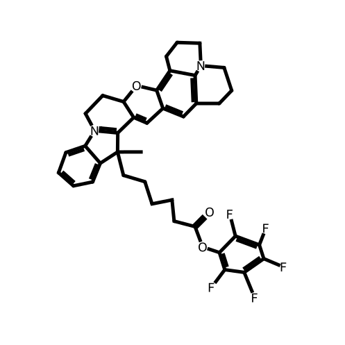 CC1(CCCCCC(=O)Oc2c(F)c(F)c(F)c(F)c2F)C2=[N+](CCC3Oc4c(cc5c6c4CCCN6CCC5)C=C23)c2ccccc21